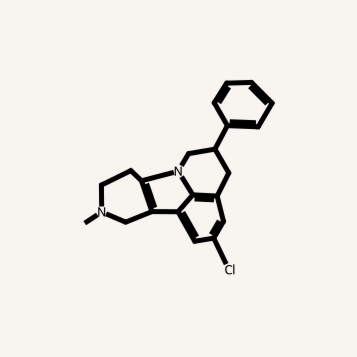 CN1CCc2c(c3cc(Cl)cc4c3n2CC(c2ccccc2)C4)C1